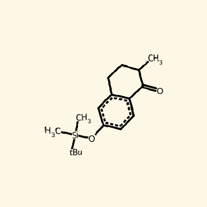 CC1CCc2cc(O[Si](C)(C)C(C)(C)C)ccc2C1=O